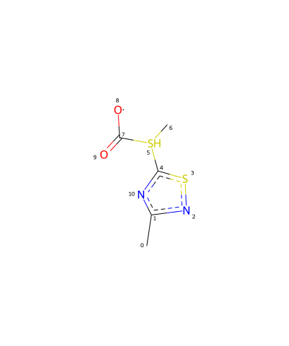 Cc1nsc([SH](C)C([O])=O)n1